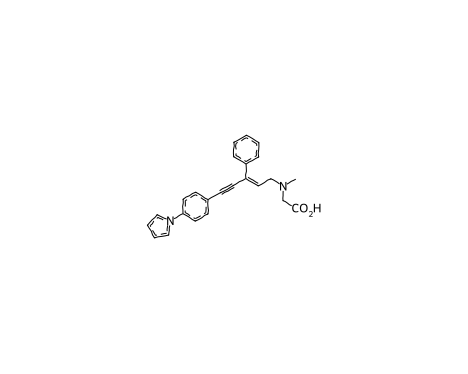 CN(CC=C(C#Cc1ccc(-n2cccc2)cc1)c1ccccc1)CC(=O)O